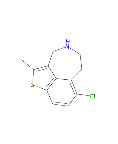 Cc1sc2ccc(Cl)c3c2c1CNCC3